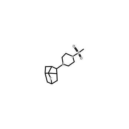 CS(=O)(=O)N1CCN(C2C3CC4CC5CC2C53C4)CC1